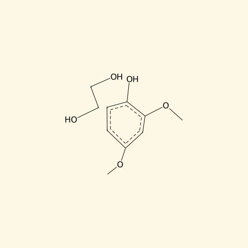 COc1ccc(O)c(OC)c1.OCCO